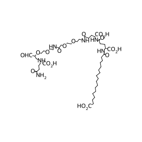 NC(=O)CC[C@H](NCC(C=O)OCCOCCNC(=O)COCCOCCNC(=O)CC[C@H](NC(=O)CC[C@H](NC(=O)CCCCCCCCCCCCCCCCC(=O)O)C(=O)O)C(=O)O)C(=O)O